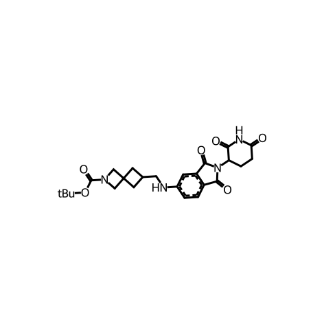 CC(C)(C)OC(=O)N1CC2(CC(CNc3ccc4c(c3)C(=O)N(C3CCC(=O)NC3=O)C4=O)C2)C1